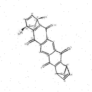 O=c1c2c(c(=O)c3cc4c(=O)c5c(c(=O)c4cc13)[C@@H]1C=C[C@H]5O1)C1C=CC2O1